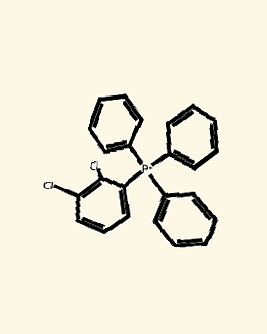 Clc1cccc([P+](c2ccccc2)(c2ccccc2)c2ccccc2)c1Cl